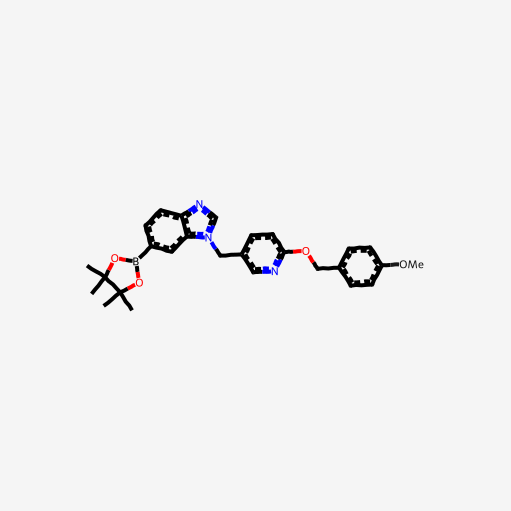 COc1ccc(COc2ccc(Cn3cnc4ccc(B5OC(C)(C)C(C)(C)O5)cc43)cn2)cc1